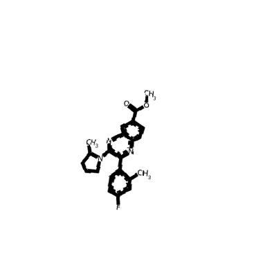 COC(=O)c1ccc2nc(-c3ccc(F)cc3C)c(N3CCCC3C)nc2c1